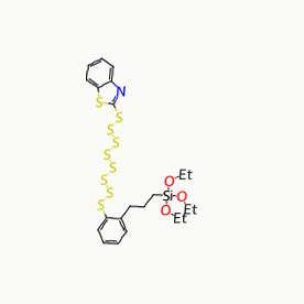 CCO[Si](CCCc1ccccc1SSSSSSSSc1nc2ccccc2s1)(OCC)OCC